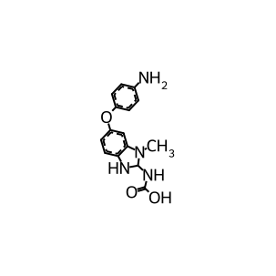 CN1c2cc(Oc3ccc(N)cc3)ccc2NC1NC(=O)O